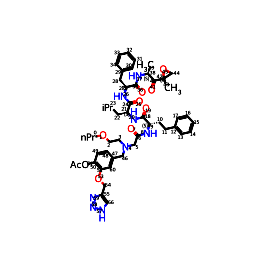 CCCOCCN(CC(=O)N[C@@H](CCc1ccccc1)C(=O)N[C@@H](CC(C)C)C(=O)N[C@@H](Cc1ccccc1)C(=O)N[C@@H](C)C(=O)[C@@]1(C)CO1)Cc1ccc(OC(C)=O)c(OCc2c[nH]nn2)c1